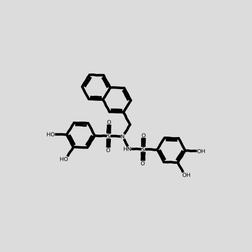 O=S(=O)(NN(Cc1ccc2ccccc2c1)S(=O)(=O)c1ccc(O)c(O)c1)c1ccc(O)c(O)c1